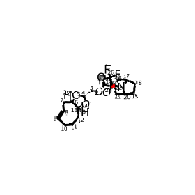 O=C(OC[C@H]1O[C@H]2C/C=C/CCC[C@H]2O1)N1CC2CCC(C1)N2C(=O)C(F)(F)F